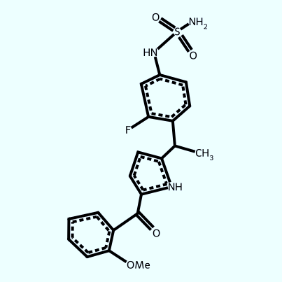 COc1ccccc1C(=O)c1ccc(C(C)c2ccc(NS(N)(=O)=O)cc2F)[nH]1